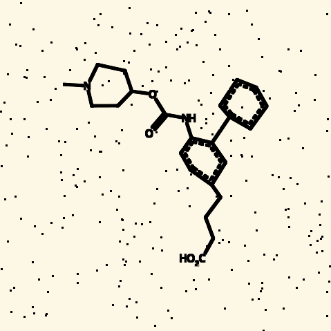 CN1CCC(OC(=O)Nc2ccc(CCCC(=O)O)cc2-c2ccccc2)CC1